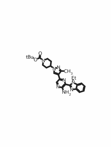 CCn1c(-c2nc(-c3cn(C4CCN(C(=O)OC(C)(C)C)CC4)nc3C)cnc2N)nc2ccccc21